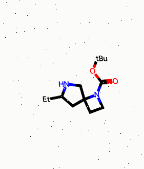 CCC1CC2(CCN2C(=O)OC(C)(C)C)CN1